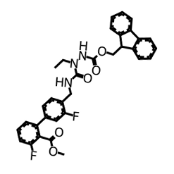 CCN(NC(=O)OCC1c2ccccc2-c2ccccc21)C(=O)NCc1ccc(-c2cccc(F)c2C(=O)OC)cc1F